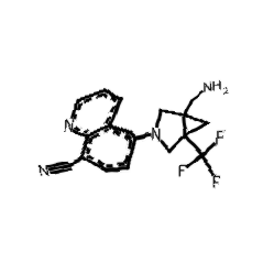 N#Cc1ccc(N2CC3(CN)CC3(C(F)(F)F)C2)c2cccnc12